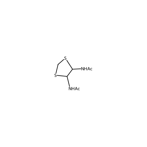 CC(=O)NC1SCSC1NC(C)=O